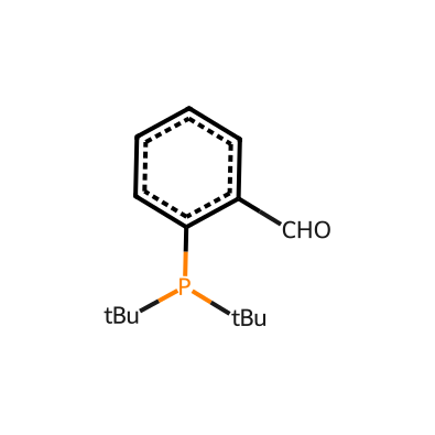 CC(C)(C)P(c1ccccc1C=O)C(C)(C)C